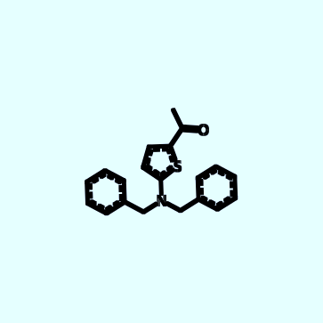 CC(=O)c1ccc(N(Cc2ccccc2)Cc2ccccc2)s1